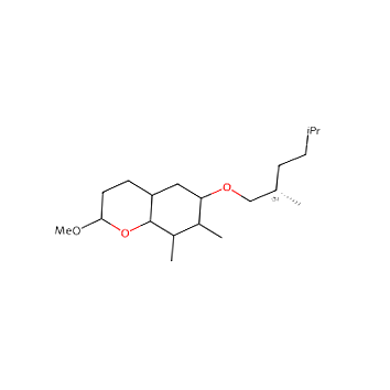 COC1CCC2CC(OC[C@@H](C)CCC(C)C)C(C)C(C)C2O1